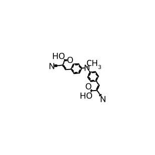 CN(c1ccc(C=C(C#N)C(=O)O)cc1)c1ccc(C=C(C#N)C(=O)O)cc1